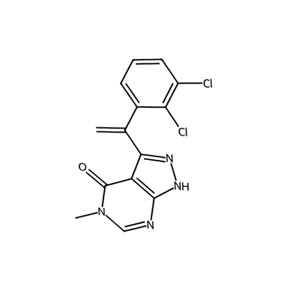 C=C(c1cccc(Cl)c1Cl)c1n[nH]c2ncn(C)c(=O)c12